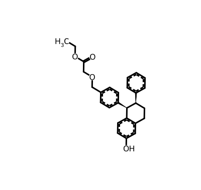 CCOC(=O)COCc1ccc([C@@H]2c3ccc(O)cc3CC[C@@H]2c2ccccc2)cc1